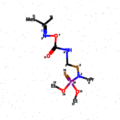 CCCN(SCNC(=O)O/N=C(\C)SC)P(=S)(OCC)OCC